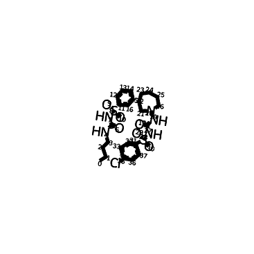 CCCCNC(=O)NS(=O)(=O)c1ccccc1.O=C(NN1CCCCCC1)NS(=O)(=O)c1ccc(Cl)cc1